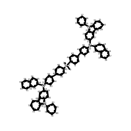 C[Si](C)(c1ccc(-c2ccc(N(c3ccc4ccccc4c3)c3ccc4c(c3)c3ccccc3n4-c3ccccc3)cc2)cc1)c1ccc(-c2ccc(N(c3ccc4ccccc4c3)c3ccc4c(c3)c3ccccc3n4-c3ccccc3)cc2)cc1